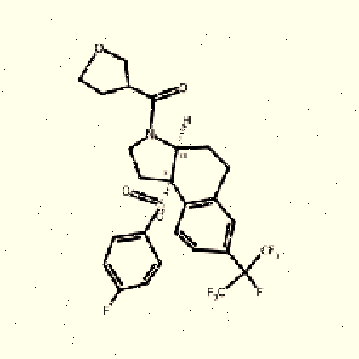 O=C(C1CCOC1)N1CC[C@]2(S(=O)(=O)c3ccc(F)cc3)c3ccc(C(F)(C(F)(F)F)C(F)(F)F)cc3CC[C@H]12